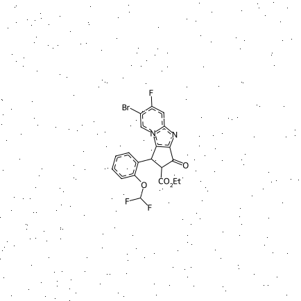 CCOC(=O)C1C(=O)c2nc3cc(F)c(Br)cn3c2C1c1ccccc1OC(F)F